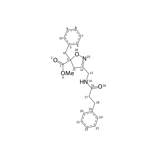 COC(=O)C1(Cc2ccccc2)CC(CNC(=O)CCc2ccccc2)=NO1